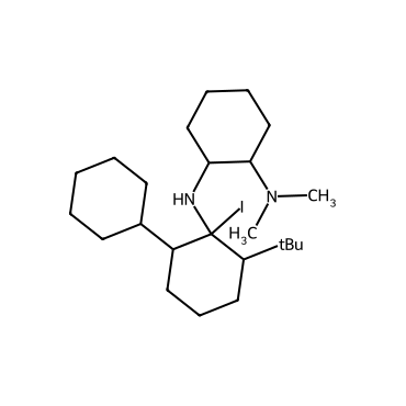 CN(C)C1CCCCC1NC1(I)C(C2CCCCC2)CCCC1C(C)(C)C